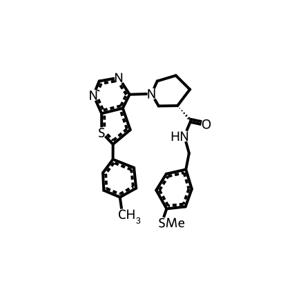 CSc1ccc(CNC(=O)[C@H]2CCCN(c3ncnc4sc(-c5ccc(C)cc5)cc34)C2)cc1